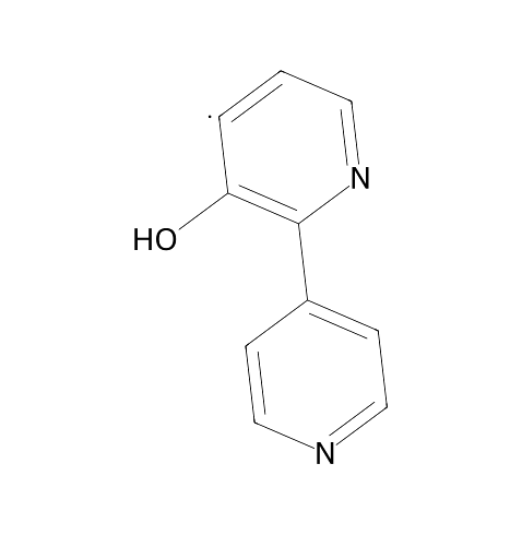 Oc1[c]ccnc1-c1ccncc1